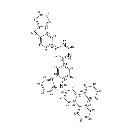 c1ccc2c(c1)sc1ccc(-c3cc(-c4ccc5c(c4)c4ccccc4n5-c4ccc5c6ccccc6c6ccccc6c5c4)ncn3)cc12